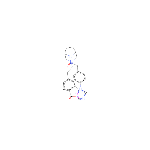 O=C1OCc2cc(CCN3CC4CCC(C3)N4C(=O)Cc3ccc(-n4cncn4)cc3)ccc21